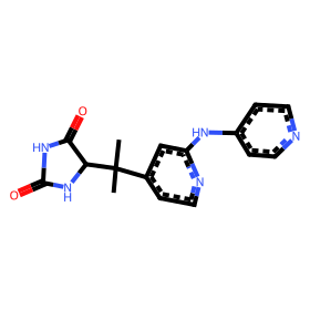 CC(C)(c1ccnc(Nc2ccncc2)c1)C1NC(=O)NC1=O